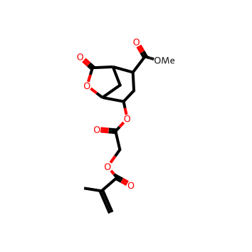 C=C(C)C(=O)OCC(=O)OC1CC(C(=O)OC)C2CC1OC2=O